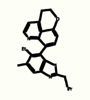 CCc1c(C)cc2nc(CC(C)C)sc2c1-c1ccc2c3c(ccnc13)CCO2